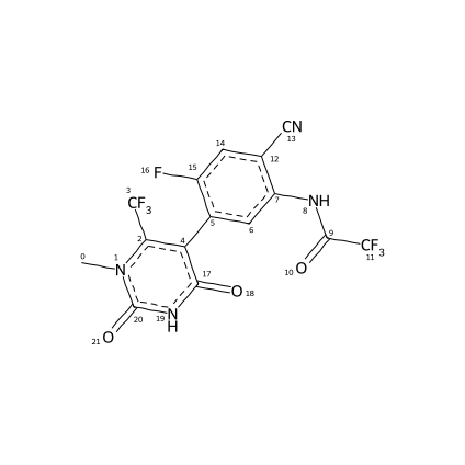 Cn1c(C(F)(F)F)c(-c2cc(NC(=O)C(F)(F)F)c(C#N)cc2F)c(=O)[nH]c1=O